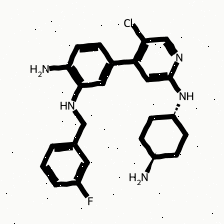 Nc1ccc(-c2cc(N[C@H]3CC[C@H](N)CC3)ncc2Cl)cc1NCc1cccc(F)c1